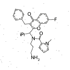 CC(C)C(c1oc2cc(F)ccc2c(=O)c1Cc1ccccc1)N(CCCN)C(=O)c1cccn1C